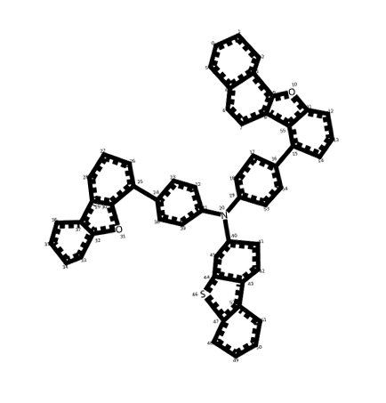 c1ccc2c(c1)ccc1c2oc2cccc(-c3ccc(N(c4ccc(-c5cccc6c5oc5ccccc56)cc4)c4ccc5c(c4)sc4ccccc45)cc3)c21